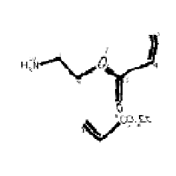 C=CC(=O)OCC.C=CC(=O)OCCN